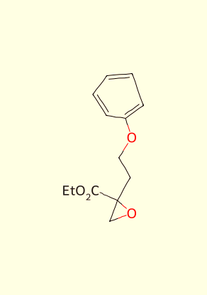 CCOC(=O)C1(CCOc2ccccc2)CO1